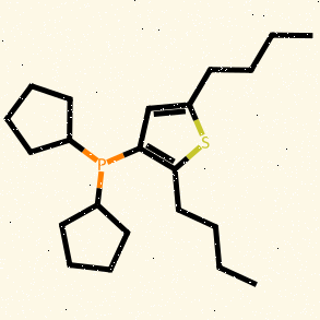 CCCCc1cc(P(C2CCCC2)C2CCCC2)c(CCCC)s1